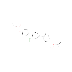 C=C(C)C(=O)Oc1ccc(-c2ccc(-c3ccc(OC(=O)C(C)C)cc3)c(F)c2)c(C)c1